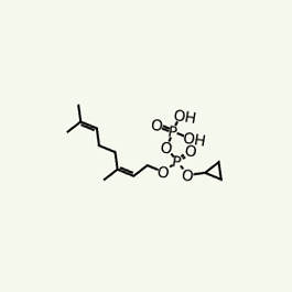 CC(C)=CCCC(C)=CCOP(=O)(OC1CC1)OP(=O)(O)O